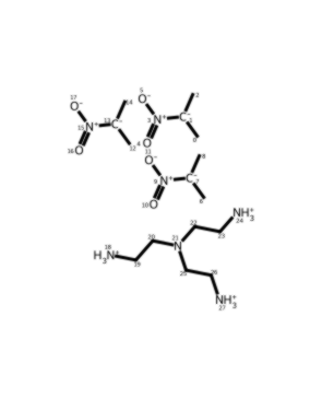 C[C-](C)[N+](=O)[O-].C[C-](C)[N+](=O)[O-].C[C-](C)[N+](=O)[O-].[NH3+]CCN(CC[NH3+])CC[NH3+]